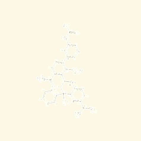 CCC(=O)Nc1cccc(-c2ccc(C(N)=O)c(C3CC(C)(c4ccccc4)c4cc(C(=N)N)ccc4N3)c2C(=O)O)c1